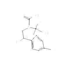 C[C@@H](C(O)c1ccc(F)cc1)N(C(=O)O)C(C)(C)C